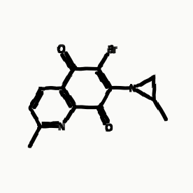 Cc1ccc2c(n1)C(=O)C(N1CC1C)=C(Br)C2=O